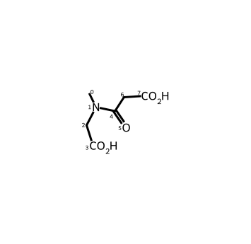 CN(CC(=O)O)C(=O)CC(=O)O